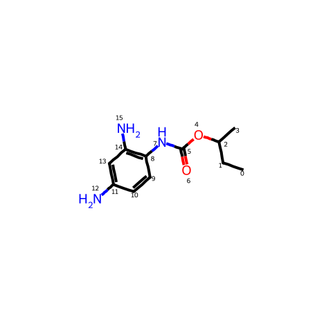 CCC(C)OC(=O)Nc1ccc(N)cc1N